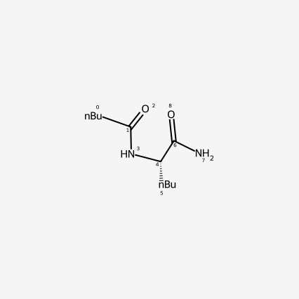 CCCCC(=O)N[C@@H](CCCC)C(N)=O